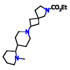 CCOC(=O)N1CCC2(CC(N3CCC(C4CCCCN4C)CC3)C2)C1